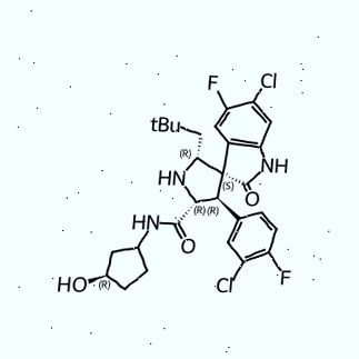 CC(C)(C)C[C@H]1N[C@@H](C(=O)NC2CC[C@@H](O)C2)[C@H](c2ccc(F)c(Cl)c2)[C@@]12C(=O)Nc1cc(Cl)c(F)cc12